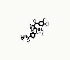 Cc1ccc(C(=O)NC2CC2)cc1-n1cnc(C(=O)c2ccc(Cl)c(Cl)c2)c1N